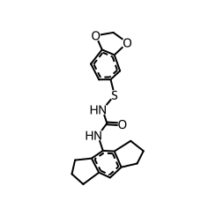 O=C(NSc1ccc2c(c1)OCO2)Nc1c2c(cc3c1CCC3)CCC2